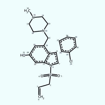 C=CCS(=O)(=O)n1ccc2c(CN3CCN(C)CC3)cc(O)cc21.Clc1ccccc1